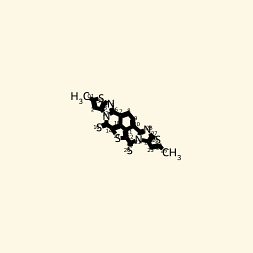 Cc1cc2c(nc3c4ccc5c6c(sc(c(=S)n23)c46)c(=S)n2c3cc(C)sc3nc52)s1